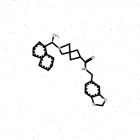 C[C@H](c1cccc2ccccc12)N1CC2(CC(C(=O)NCc3ccc4c(c3)OCO4)C2)C1